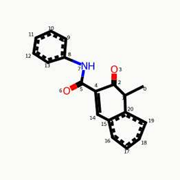 CC1C(=O)C(C(=O)Nc2ccccc2)=Cc2ccccc21